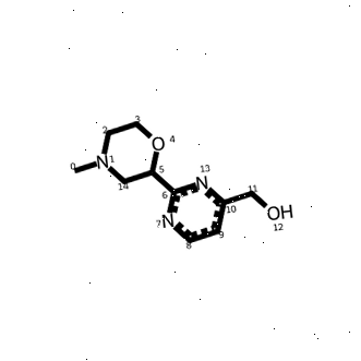 CN1CCOC(c2nccc(CO)n2)C1